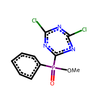 COP(=O)(c1ccccc1)c1nc(Cl)nc(Cl)n1